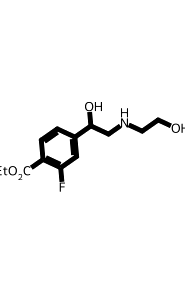 CCOC(=O)c1ccc(C(O)CNCCO)cc1F